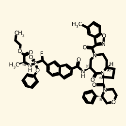 CCCOC(=O)[C@H](C)NP(=O)(Oc1ccccc1)C(F)c1ccc2ccc(C(=O)N[C@H]3CN(C(=O)c4noc5ccc(C)cc45)CC[C@H]4CC[C@@H](C(=O)N5CCOC[C@@H]5c5ccccc5)N4C3=O)cc2c1